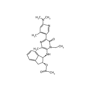 CCn1c(N[C@@H]2c3ccccc3C[C@@H]2OC(C)=O)c(C)nc(-c2cnc(N(C)C)cc2C)c1=O